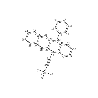 C[Si](C)(C)C#Cc1c2ccccc2c(-c2ccccc2)c2cc3ccccc3cc12